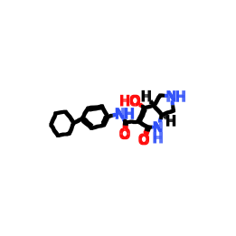 O=C(Nc1ccc(C2CCCCC2)cc1)C1=C(O)[C@@H]2CNC[C@H]2NC1=O